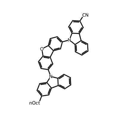 CCCCCCCCc1ccc2c(c1)c1ccccc1n2-c1ccc2oc3ccc(-n4c5ccccc5c5cc(C#N)ccc54)cc3c2c1